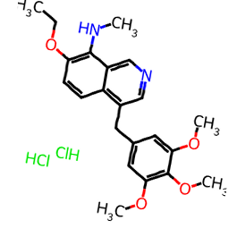 CCOc1ccc2c(Cc3cc(OC)c(OC)c(OC)c3)cncc2c1NC.Cl.Cl